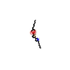 CCCCCCCc1ccc(-c2ccc(C3OCC(CCCCCC)CO3)s2)cn1